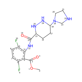 COC(=O)c1c(F)ccc(F)c1NC(=O)C1CCC(N2CCNC2)NN1